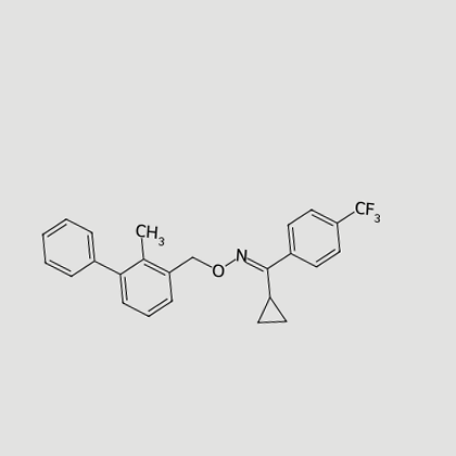 Cc1c(CO/N=C(/c2ccc(C(F)(F)F)cc2)C2CC2)cccc1-c1ccccc1